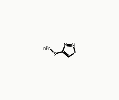 CC[CH]Sc1csnn1